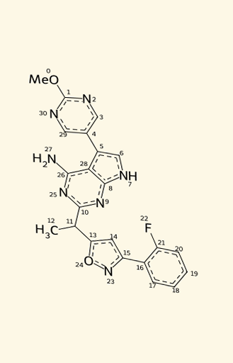 COc1ncc(-c2c[nH]c3nc(C(C)c4cc(-c5ccccc5F)no4)nc(N)c23)cn1